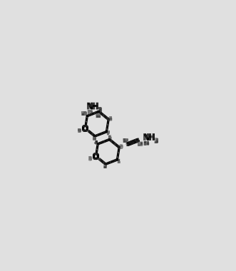 C1CCOCC1.C1CCOCC1.C=C.N.N